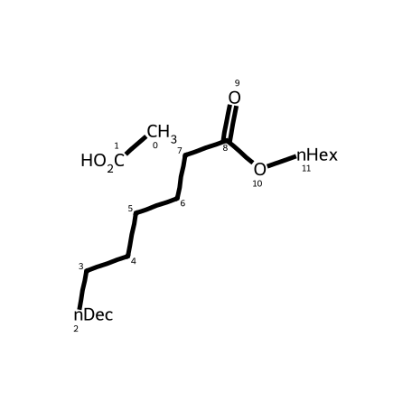 CC(=O)O.CCCCCCCCCCCCCCCC(=O)OCCCCCC